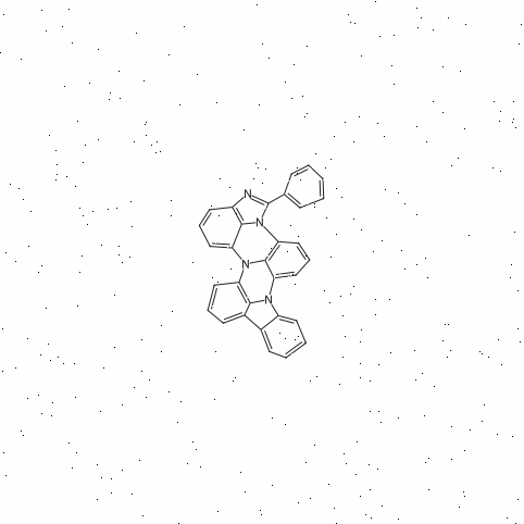 c1ccc(-c2nc3cccc4c3n2c2cccc3c2-n4c2cccc4c5ccccc5n3c42)cc1